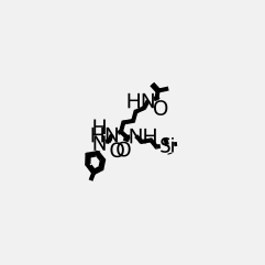 C=C(C)C(=O)NCCCCC(NC(=O)Nc1ccc(C)cc1)C(=O)NCCC[Si](C)(C)C